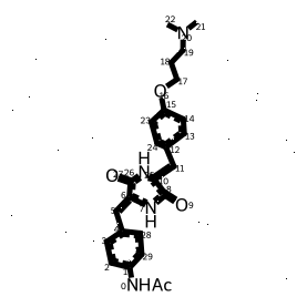 CC(=O)Nc1ccc(/C=c2\[nH]c(=O)/c(=C/c3ccc(OCCCN(C)C)cc3)[nH]c2=O)cc1